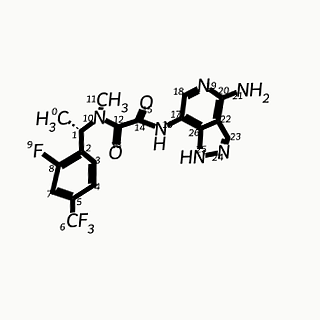 C[C@@H](c1ccc(C(F)(F)F)cc1F)N(C)C(=O)C(=O)Nc1cnc(N)c2cn[nH]c12